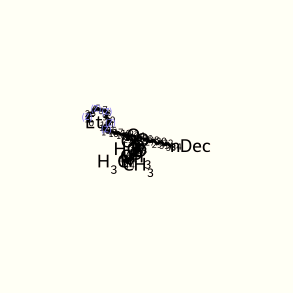 CC/C=C\C/C=C\C/C=C\C/C=C\C/C=C\CCCCCC(=O)O[C@H](COCCCCCCCCCCCCCCCCCC)COP(=O)(O)OCC[N+](C)(C)C